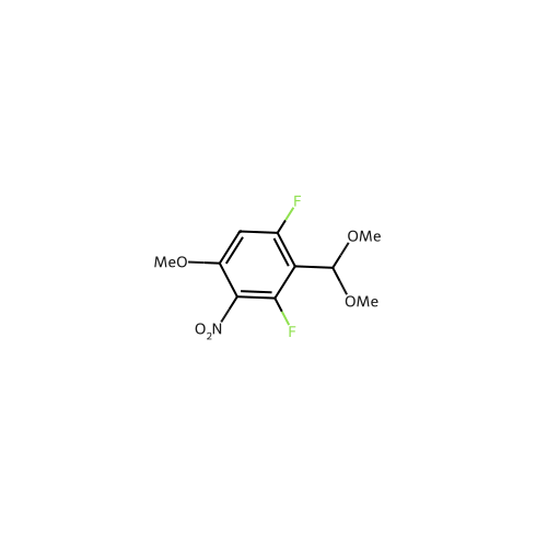 COc1cc(F)c(C(OC)OC)c(F)c1[N+](=O)[O-]